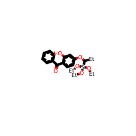 CCO[Si](OCC)(OCC)C(CC)Oc1ccc(C(=O)c2ccccc2)c(O)c1